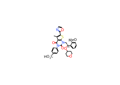 COc1ccccc1[C@H](Cn1c(=O)n(-c2ccc(C(=O)O)cc2)c(=O)c2c(C)c(-c3ncco3)sc21)OC1CCOCC1